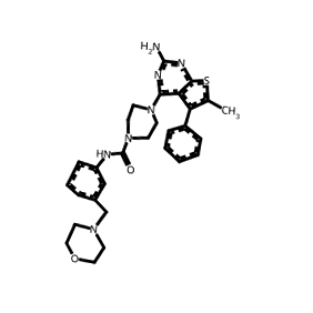 Cc1sc2nc(N)nc(N3CCN(C(=O)Nc4cccc(CN5CCOCC5)c4)CC3)c2c1-c1ccccc1